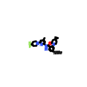 CNc1ccc(C(=O)Nc2cc(C)cc(N3CCC(F)(F)CC3)n2)c(N2CCC3(CC2)CC3)c1